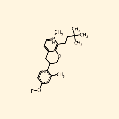 Cc1cc(OF)ccc1C1COC2=C(CCC(C)(C)C)[PH](C)=CC=C2C1